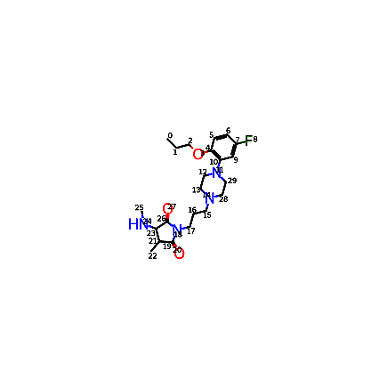 CCCOc1ccc(F)cc1N1CCN(CCCN2C(=O)C(C)C(NC)C2=O)CC1